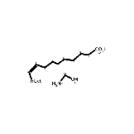 CCCCCCCC/C=C\CCCCCCCC(=O)O.NCO